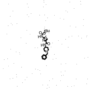 CC(C)(C)OC(=O)Nc1nc(C(=O)NC2CCN(Cc3ccccc3)CC2)cs1